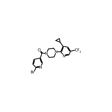 O=C(c1ccc(Br)nc1)N1CCN(c2ncc(C(F)(F)F)cc2C2CC2)CC1